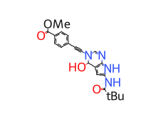 COC(=O)c1ccc(C#CN2C=Nc3[nH]c(NC(=O)C(C)(C)C)cc3C2O)cc1